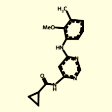 COc1c(C)cccc1Nc1cc(NC(=O)C2CC2)ncn1